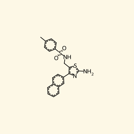 Cc1ccc(S(=O)(=O)NCc2sc(N)nc2-c2ccc3ccccc3c2)cc1